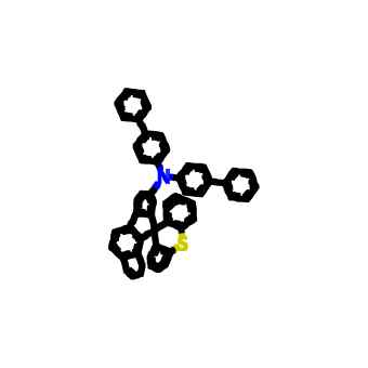 c1ccc2c(c#1)C1(c3ccccc3S2)c2cc(N(c3ccc(-c4ccccc4)cc3)c3ccc(-c4ccccc4)cc3)ccc2-c2ccc3c(c21)CCC=C3